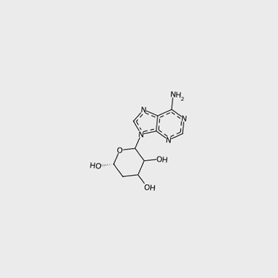 Nc1ncnc2c1ncn2C1O[C@@H](O)CC(O)C1O